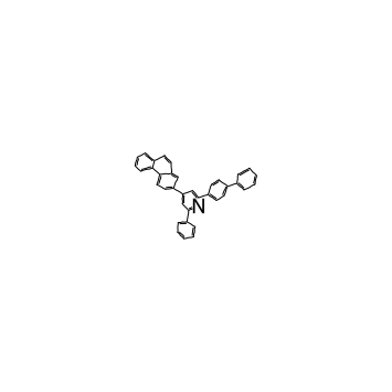 c1ccc(-c2ccc(-c3cc(-c4ccc5c(ccc6ccccc65)c4)cc(-c4ccccc4)n3)cc2)cc1